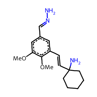 COc1cc(C=NN)cc(C=CC2(N)CCCCC2)c1OC